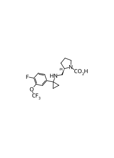 O=C(O)N1CCC[C@@H]1CNC1(c2ccc(F)c(OC(F)(F)F)c2)CC1